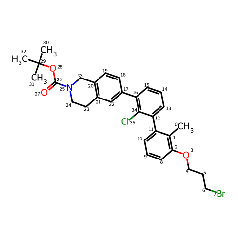 Cc1c(OCCCBr)cccc1-c1cccc(-c2ccc3c(c2)CCN(C(=O)OC(C)(C)C)C3)c1Cl